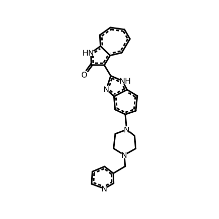 O=c1[nH]c2cccccc-2c1-c1nc2cc(N3CCN(Cc4cccnc4)CC3)ccc2[nH]1